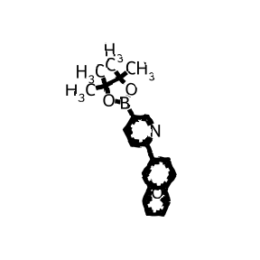 CC1(C)OB(c2ccc(-c3ccc4c5ccc(o5)c4c3)nc2)OC1(C)C